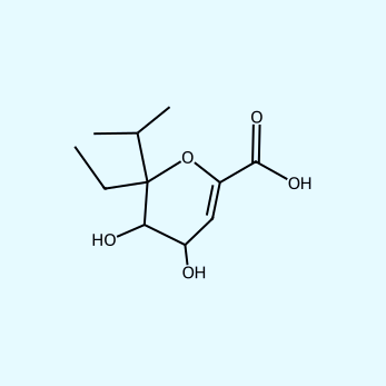 CCC1(C(C)C)OC(C(=O)O)=CC(O)C1O